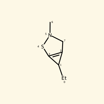 CCC1C2=C1SN(C)C2